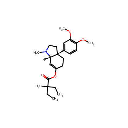 CCC(C)(CC)C(=O)OC1=C[C@@H]2N(C)CC[C@]2(c2ccc(OC)c(OC)c2)CC1